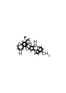 Cc1ccnc2c1ccn2C1CC(Oc2cc(C(F)F)cc3c2CNCCO3)C(O)C1O